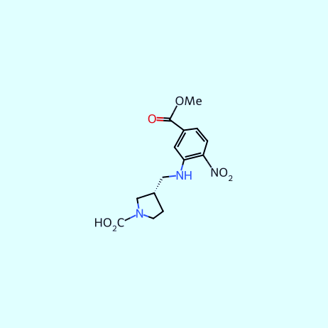 COC(=O)c1ccc([N+](=O)[O-])c(NC[C@@H]2CCN(C(=O)O)C2)c1